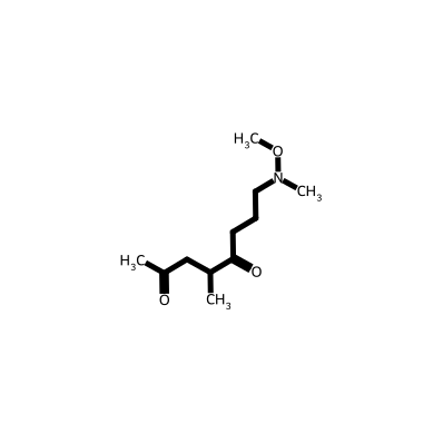 CON(C)CCCC(=O)C(C)CC(C)=O